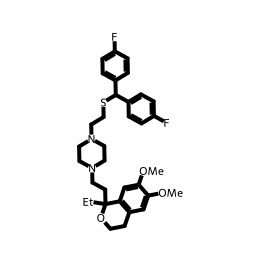 CCC1(CCN2CCN(CCSC(c3ccc(F)cc3)c3ccc(F)cc3)CC2)OCCc2cc(OC)c(OC)cc21